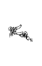 N#Cc1ccc(NC(=O)c2ccc(Nc3nc(N4CCCCC4)nc(N4CCCCC4)n3)cc2O)cc1